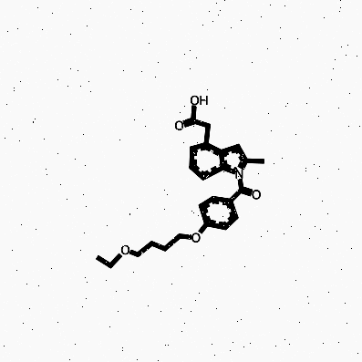 CCOCCCCOc1ccc(C(=O)n2c(C)cc3c(CC(=O)O)cccc32)cc1